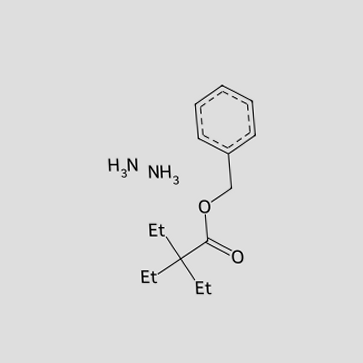 CCC(CC)(CC)C(=O)OCc1ccccc1.N.N